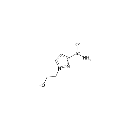 N[S+]([O-])c1ccn(CCO)n1